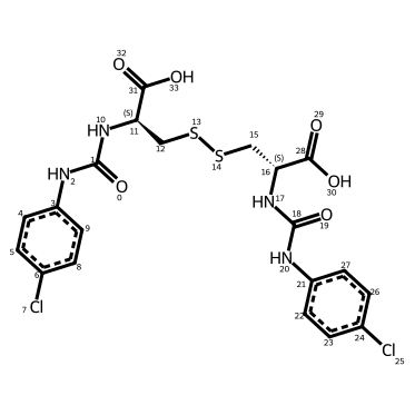 O=C(Nc1ccc(Cl)cc1)N[C@H](CSSC[C@@H](NC(=O)Nc1ccc(Cl)cc1)C(=O)O)C(=O)O